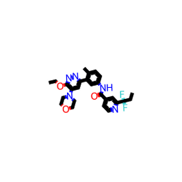 CCOc1nnc(-c2cc(NC(=O)c3ccnc(C(F)(F)CC)c3)ccc2C)cc1N1CCOCC1